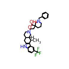 C[C@H]1c2c([nH]c3ccc(C(F)(F)F)cc23)CC2CCN(CCC3(C(=O)O)CCCN(Cc4ccccc4)C3)C[C@@H]21